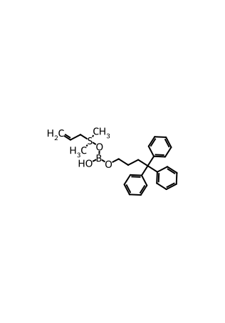 C=CCS(C)(C)OB(O)OCCCC(c1ccccc1)(c1ccccc1)c1ccccc1